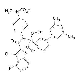 CCOC(OCC)(c1cccc(-c2cc(C)nc(C)c2)c1)N(C(=O)c1sc2cccc(F)c2c1Cl)C1CCC(N(C)C(=O)O)CC1